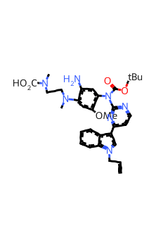 C=CCn1cc(-c2ccnc(N(C(=O)OC(C)(C)C)c3cc(N)c(N(C)CCN(C)C(=O)O)cc3OC)n2)c2ccccc21